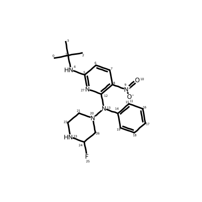 CC(C)(C)Nc1ccc([N+](=O)[O-])c(N(c2ccccc2)N2CCNC(F)C2)n1